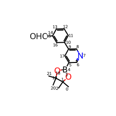 CC1(C)OB(c2cncc(-c3cccc(C=O)c3)c2)OC1(C)C